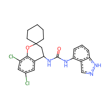 O=C(Nc1cccc2[nH]ncc12)NC1CC2(CCCCC2)Oc2c(Cl)cc(Cl)cc21